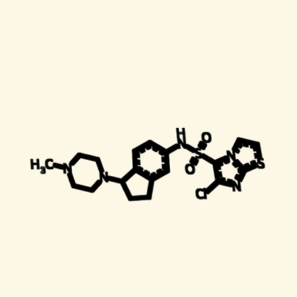 CN1CCN(C2CCc3cc(NS(=O)(=O)c4c(Cl)nc5sccn45)ccc32)CC1